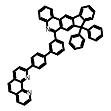 c1ccc(C2(c3ccccc3)c3ccccc3-c3cc4c(cc32)c(-c2cccc(-c3ccc(-c5ccc6ccc7cccnc7c6n5)cc3)c2)nc2ccccc24)cc1